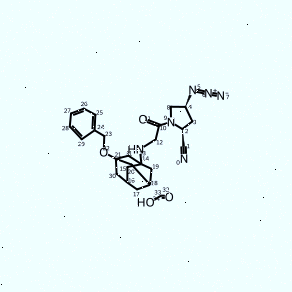 N#C[C@@H]1C[C@H](N=[N+]=[N-])CN1C(=O)CNC12CC3CC(C1)CC(OCc1ccccc1)(C3)C2.O=CO